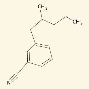 CCCC(C)Cc1cccc(C#N)c1